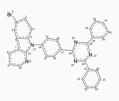 Brc1ccc2c(c1)c1cccnc1n2-c1ccc(-c2nc(-c3ccccc3)nc(-c3ccccc3)n2)cc1